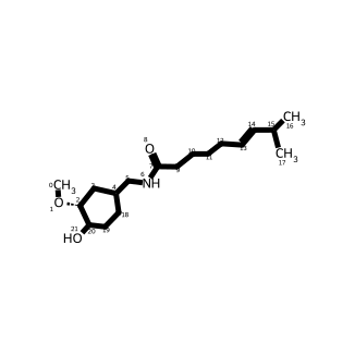 CO[C@@H]1CC(CNC(=O)CCCC/C=C/C(C)C)CCC1O